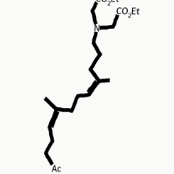 CCOC(=O)CN(CCC/C(C)=C\CC/C(C)=C\CCC(C)=O)CC(=O)OCC